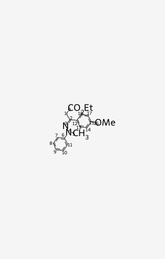 CCOC(=O)CC(=NN(C)c1ccccc1)c1ccc(OC)cc1